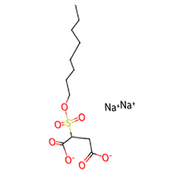 CCCCCCCCOS(=O)(=O)C(CC(=O)[O-])C(=O)[O-].[Na+].[Na+]